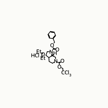 CCOCC.Cl.O=C(OCC(Cl)(Cl)Cl)N1CCC2CCN(C(=O)OCc3ccccc3)[C@@H]2C1